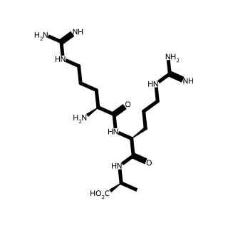 C[C@H](NC(=O)[C@H](CCCNC(=N)N)NC(=O)[C@@H](N)CCCNC(=N)N)C(=O)O